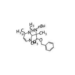 CCCCNC(C)(C(=O)OCc1ccccc1)C1N(C)C=C[C@@H](C)N1C